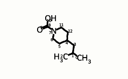 CC(C)CC1CCN(C(=O)O)CC1